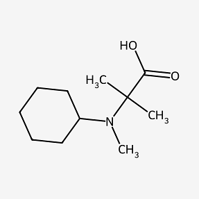 CN(C1CCCCC1)C(C)(C)C(=O)O